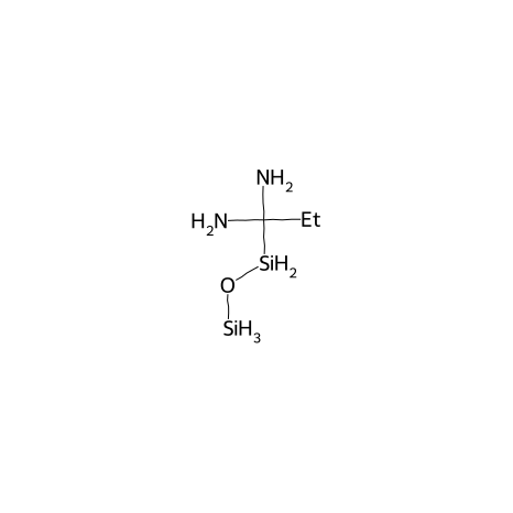 CCC(N)(N)[SiH2]O[SiH3]